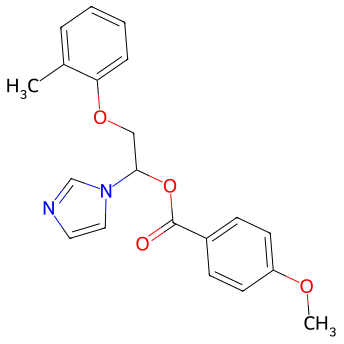 COc1ccc(C(=O)OC(COc2ccccc2C)n2ccnc2)cc1